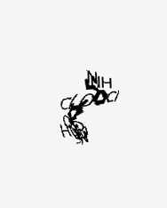 O=S(=O)(Nc1ncns1)c1ccc(Oc2ccc(Cl)cc2-c2ccn[nH]2)c(Cl)c1